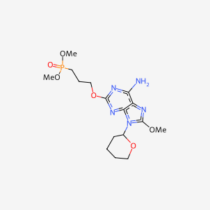 COc1nc2c(N)nc(OCCCP(=O)(OC)OC)nc2n1C1CCCCO1